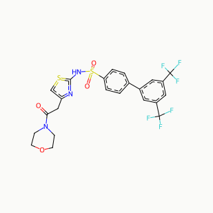 O=C(Cc1csc(NS(=O)(=O)c2ccc(-c3cc(C(F)(F)F)cc(C(F)(F)F)c3)cc2)n1)N1CCOCC1